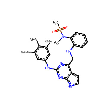 COc1cc(Nc2nc(CNc3ccccc3N(C)S(C)(=O)=O)c3cc[nH]c3n2)cc(OC)c1OC